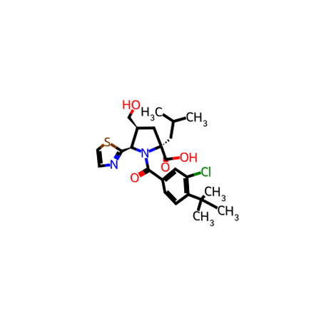 CC(C)C[C@@]1(C(=O)O)C[C@H](CO)[C@H](c2nccs2)N1C(=O)c1ccc(C(C)(C)C)c(Cl)c1